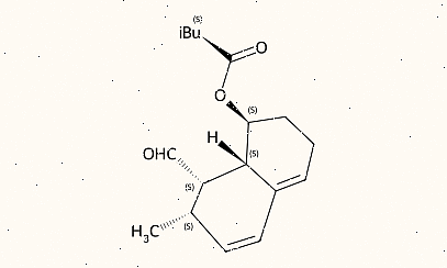 CC[C@H](C)C(=O)O[C@H]1CCC=C2C=C[C@H](C)[C@H](C=O)[C@@H]21